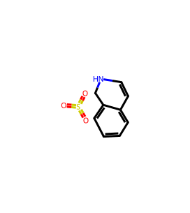 C1=Cc2ccccc2CN1.O=S(=O)=O